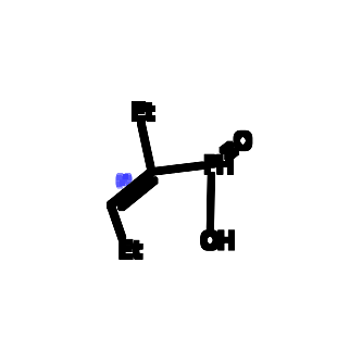 CC/C=C(/CC)[PH](=O)O